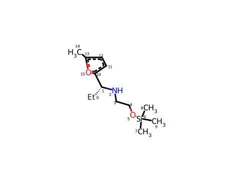 CC[C@@H](NCCO[Si](C)(C)C)c1ccc(C)o1